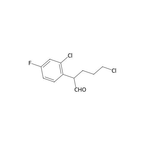 O=CC(CCCCl)c1ccc(F)cc1Cl